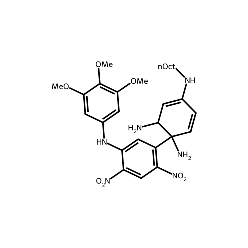 CCCCCCCCNC1=CC(N)C(N)(c2cc(Nc3cc(OC)c(OC)c(OC)c3)c([N+](=O)[O-])cc2[N+](=O)[O-])C=C1